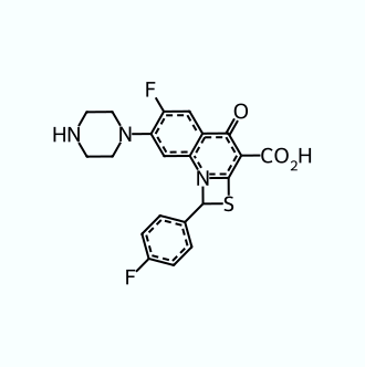 O=C(O)c1c2n(c3cc(N4CCNCC4)c(F)cc3c1=O)C(c1ccc(F)cc1)S2